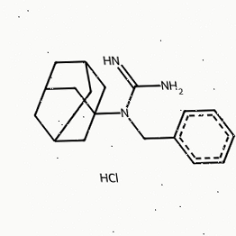 Cl.N=C(N)N(Cc1ccccc1)C12CC3CC(CC(C3)C1)C2